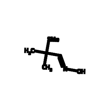 CSC(C)(C)C=NO